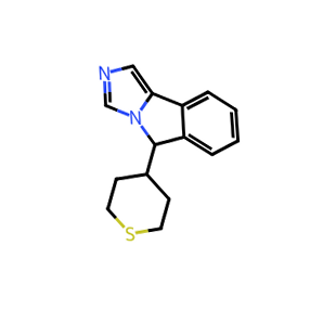 c1ccc2c(c1)-c1cncn1C2C1CCSCC1